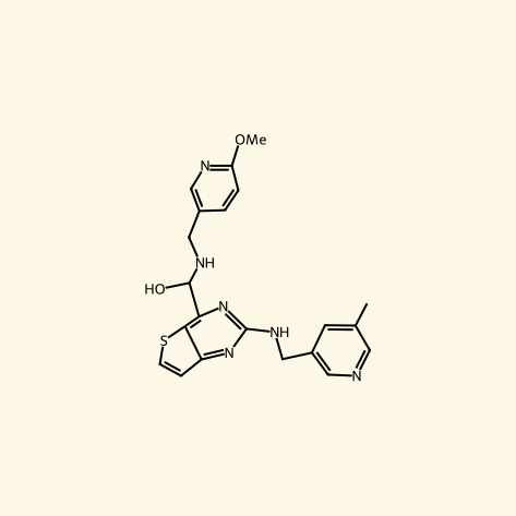 COc1ccc(CNC(O)c2nc(NCc3cncc(C)c3)nc3ccsc23)cn1